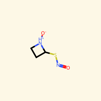 O=NSC1CC[NH+]1[O-]